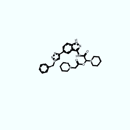 O=C(CN1CCCCC1)OC(C(=O)Nc1n[nH]c2ccc(-c3cn(Cc4ccccc4)nn3)cc12)N1CCCCC1